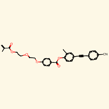 C=C(C)C(=O)OCCOCCOc1ccc(C(=O)Oc2ccc(C#Cc3ccc(C#N)cc3)cc2C)cc1